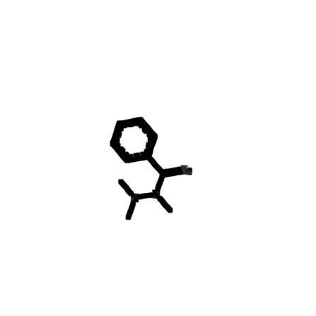 CN(C)N(C)C(=[Te])c1ccccc1